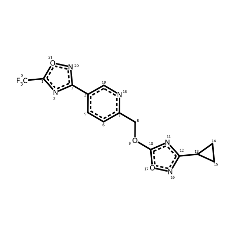 FC(F)(F)c1nc(-c2ccc(COc3nc(C4CC4)no3)nc2)no1